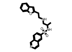 CC(CNCCc1cc2ccccc2o1)NS(=O)(=O)c1ccc2cnccc2c1